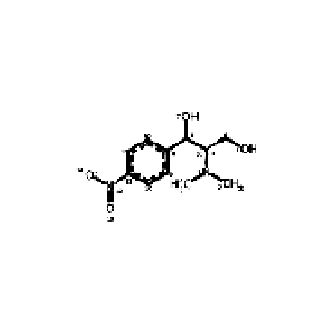 CN(C)[C@H](CO)C(O)c1ccc([N+](=O)[O-])cc1